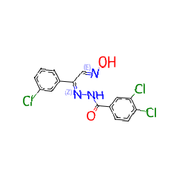 O=C(N/N=C(\C=N\O)c1cccc(Cl)c1)c1ccc(Cl)c(Cl)c1